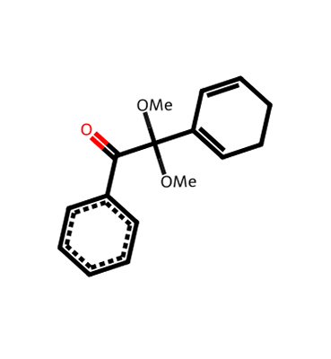 COC(OC)(C(=O)c1ccccc1)C1=CCCC=C1